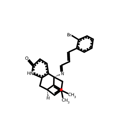 C/C=C1\[C@H]2C=C(C)C[C@]1(/N=C/C=C/c1ccccc1Br)c1ccc(=O)[nH]c1C2